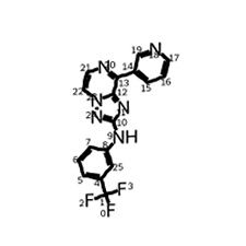 FC(F)(F)c1cccc(Nc2nc3c(-c4cccnc4)nccn3n2)c1